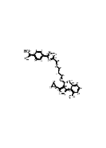 O=C(O)c1ccc(-c2noc(COCCCOCc3c(-c4c(Cl)cccc4Cl)noc3C3CC3)n2)cc1